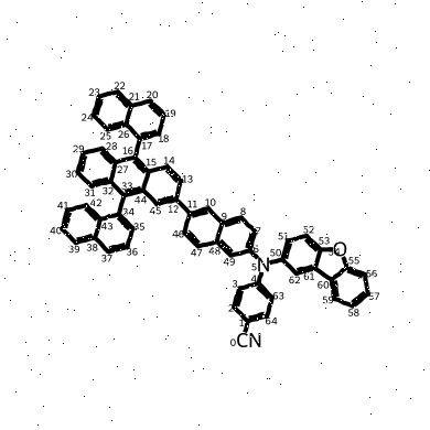 N#Cc1ccc(N(c2ccc3cc(-c4ccc5c(-c6cccc7ccccc67)c6ccccc6c(-c6cccc7ccccc67)c5c4)ccc3c2)c2ccc3oc4ccccc4c3c2)cc1